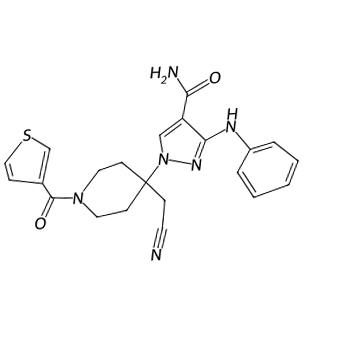 N#CCC1(n2cc(C(N)=O)c(Nc3ccccc3)n2)CCN(C(=O)c2ccsc2)CC1